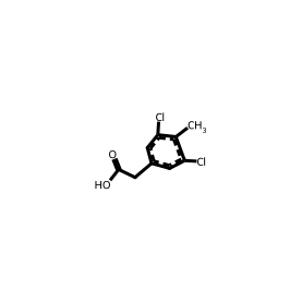 Cc1c(Cl)cc(CC(=O)O)cc1Cl